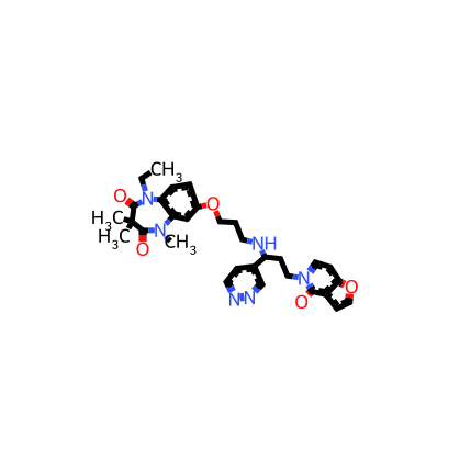 CCN1C(=O)C(C)(C)C(=O)N(C)c2cc(OCCCNC(CCn3ccc4occc4c3=O)c3ccnnc3)ccc21